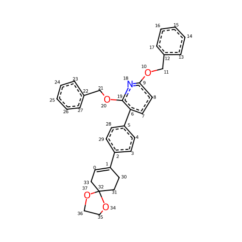 C1=C(c2ccc(-c3ccc(OCc4ccccc4)nc3OCc3ccccc3)cc2)CCC2(C1)OCCO2